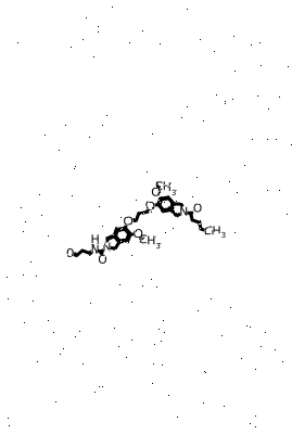 CCCCC(=O)N1Cc2cc(OC)c(OCCCOc3cc4c(cc3OC)CN(C(=O)NCCC=O)C4)cc2C1